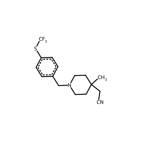 CC1(CC#N)CCN(Cc2ccc(SC(F)(F)F)cc2)CC1